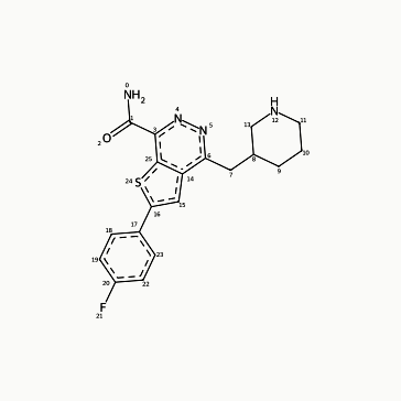 NC(=O)c1nnc(CC2CCCNC2)c2cc(-c3ccc(F)cc3)sc12